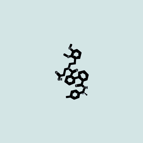 COc1cccc(CCN(CCC(=O)O)C(=O)c2ccccc2-c2ccccc2C(=O)N[C@H](C)c2ccc(C)cc2)c1OC